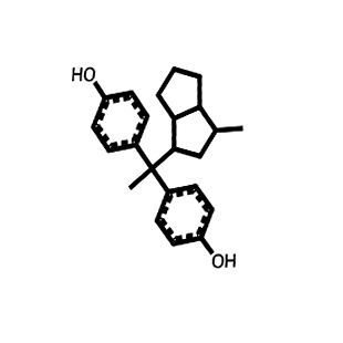 CC1CC(C(C)(c2ccc(O)cc2)c2ccc(O)cc2)C2CCCC12